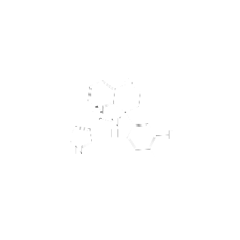 Cc1ccc([C@@]2(NC(=O)c3cnsc3)CCOc3cccnc32)cc1F